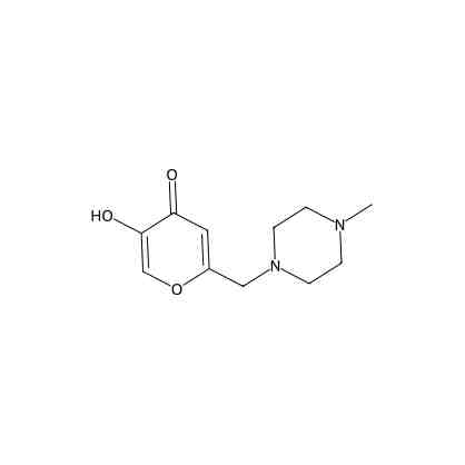 CN1CCN(Cc2cc(=O)c(O)co2)CC1